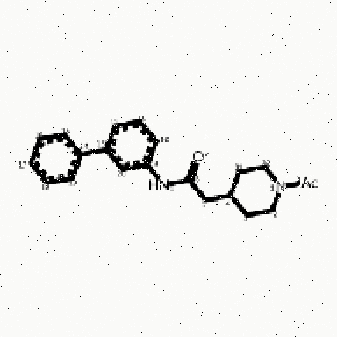 CC(=O)N1CCC(CC(=O)Nc2cccc(-c3ccccc3)c2)CC1